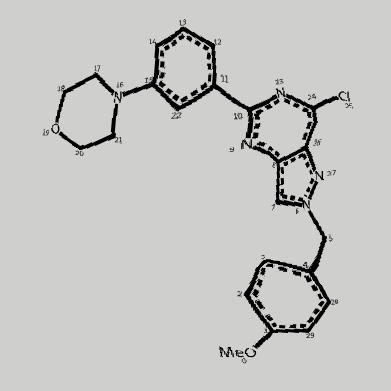 COc1ccc(Cn2cc3nc(-c4cccc(N5CCOCC5)c4)nc(Cl)c3n2)cc1